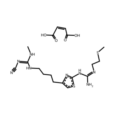 CN/C(=N/C#N)NCCCCc1csc(N/C(N)=N\CCSC)n1.O=C(O)/C=C\C(=O)O